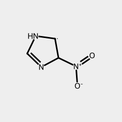 O=[N+]([O-])C1[CH]NC=N1